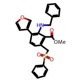 COC(=O)c1c(CS(=O)(=O)c2ccccc2)ccc(-c2ccoc2)c1NCc1ccccc1